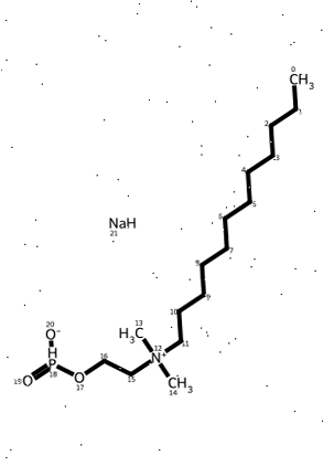 CCCCCCCCCCCC[N+](C)(C)CCO[PH](=O)[O-].[NaH]